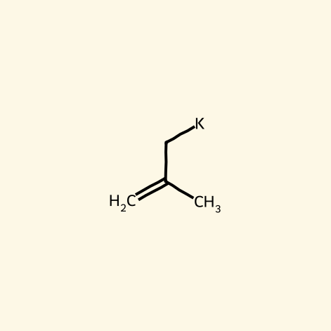 C=C(C)[CH2][K]